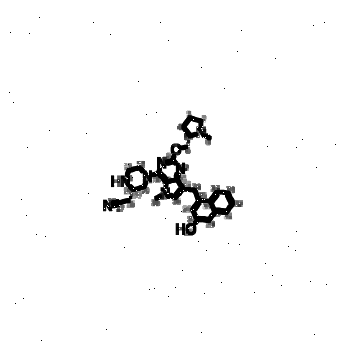 CN1CCC[C@H]1COc1nc(N2CCN[C@@H](CC#N)C2)c2c(n1)c(Cc1cc(O)cc3ccccc13)cn2C